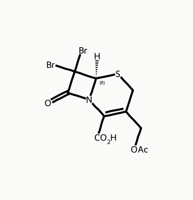 CC(=O)OCC1=C(C(=O)O)N2C(=O)C(Br)(Br)[C@H]2SC1